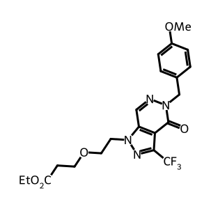 CCOC(=O)CCOCCn1nc(C(F)(F)F)c2c(=O)n(Cc3ccc(OC)cc3)ncc21